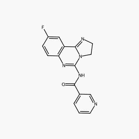 O=C(NC1=Nc2ccc(F)cc2C2=NCCN12)c1cccnc1